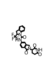 O=C1CCC(N2Cc3cc(NC(=O)N4c5ccccc5CC4C(F)(F)F)ccc3C2=O)C(=O)N1